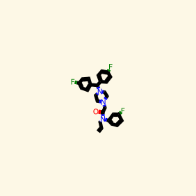 C=CCN(C(=O)CN1CCN(C(c2ccc(F)cc2)c2ccc(F)cc2)CC1)c1cccc(F)c1